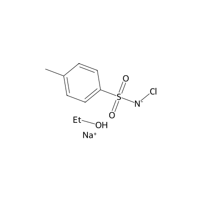 CCO.Cc1ccc(S(=O)(=O)[N-]Cl)cc1.[Na+]